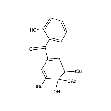 CC(=O)OC1(O)C(C(C)(C)C)=CC(C(=O)c2ccccc2O)=CC1C(C)(C)C